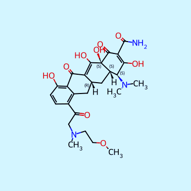 COCCN(C)CC(=O)c1ccc(O)c2c1C[C@H]1C[C@H]3[C@H](N(C)C)C(O)=C(C(N)=O)C(=O)[C@@]3(O)C(O)=C1C2=O